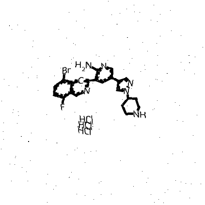 Cl.Cl.Cl.Nc1ncc(-c2cnn(C3CCNCC3)c2)cc1-c1cc2c(Br)ccc(F)c2cn1